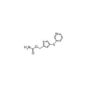 NC(=O)OCc1cc(Sc2cccnc2)cs1